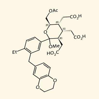 CCc1ccc(C2(OC)O[C@@H](COC(C)=O)[C@H](CC(=O)O)[C@H](CC(=O)O)[C@H]2CC(=O)O)cc1Cc1ccc2c(c1)OCCO2